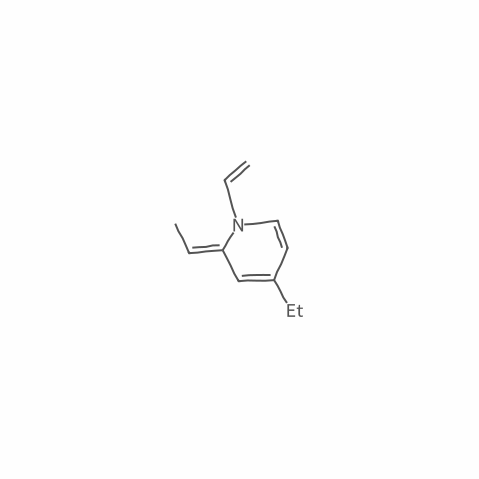 C=CN1C=CC(CC)=C/C1=C/C